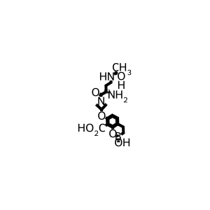 CC(O)NCC[C@H](N)C(=O)N1CC(Oc2ccc3c(c2C(=O)O)OB(O)CC3)C1